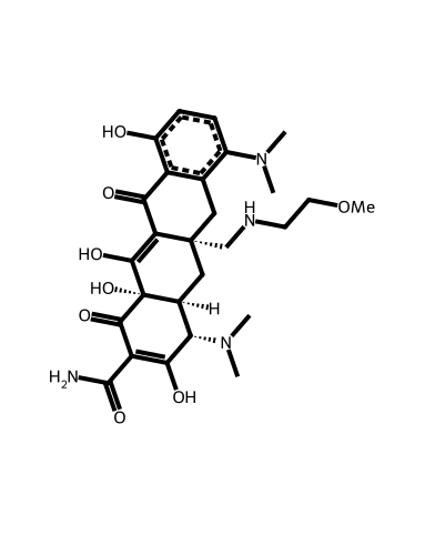 COCCNC[C@@]12Cc3c(N(C)C)ccc(O)c3C(=O)C1=C(O)[C@]1(O)C(=O)C(C(N)=O)=C(O)[C@@H](N(C)C)[C@@H]1C2